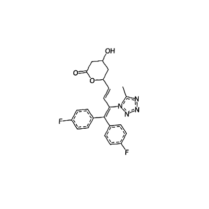 Cc1nnnn1C(C=CC1CC(O)CC(=O)O1)=C(c1ccc(F)cc1)c1ccc(F)cc1